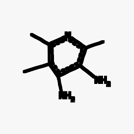 Cc1nc(C)c(N)c(N)c1C